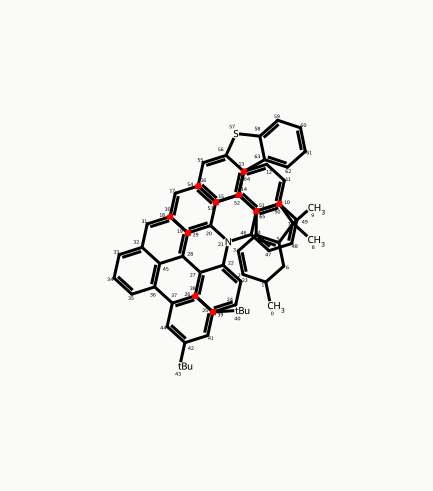 CC1C=CC2=C(C1)C(C)(C)c1cccc(-c3ccccc3N(c3ccccc3-c3cccc4cccc(-c5cc(C(C)(C)C)cc(C(C)(C)C)c5)c34)c3ccccc3-c3cccc4sc5ccccc5c34)c12